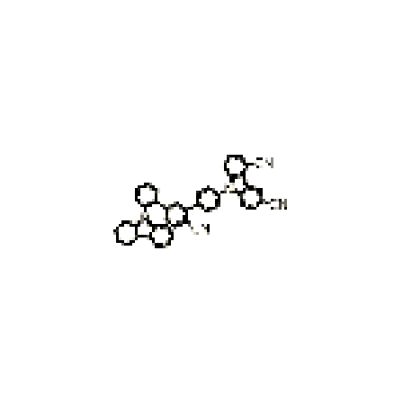 N#Cc1ccc2c(c1)c1c(C#N)cccc1n2-c1ccc(-c2cc(-c3ccccc3-n3c4ccccc4c4ccccc43)ccc2C#N)cc1